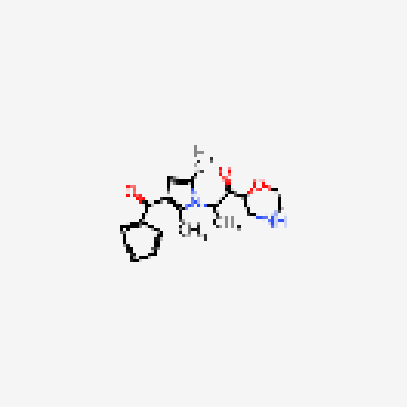 Cc1cc(C(=O)c2ccccc2)c(C)n1C(C)C(=O)C1CNCCO1